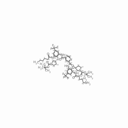 CCCCCC(=O)Nc1cc(C(F)(F)F)cc(NC(=O)c2cc(C(=O)Nc3cc(C(F)(F)F)cc(NC(=O)CCCCN)c3O[C@@H]3CCN(C(=O)OC(C)(C)C)C3)ncn2)c1O[C@@H]1CCN(C(=O)OC(C)(C)C)C1